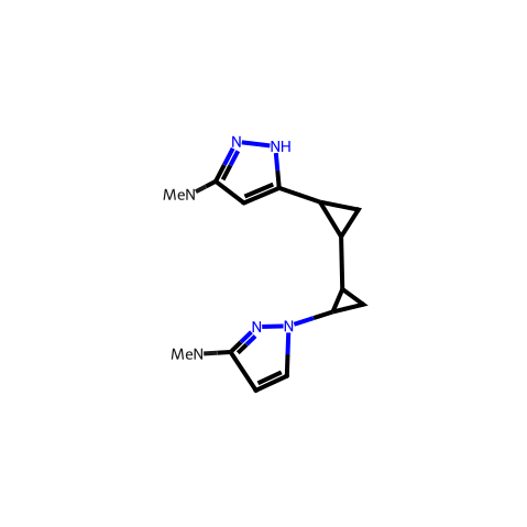 CNc1cc(C2CC2C2CC2n2ccc(NC)n2)[nH]n1